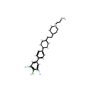 CCC[SiH]1CCC(CCC2CCC(c3ccc(-c4cc(F)c(Cl)c(F)c4)cc3)CC2)CC1